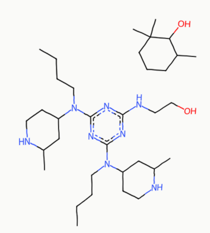 CC1CCCC(C)(C)C1O.CCCCN(c1nc(NCCO)nc(N(CCCC)C2CCNC(C)C2)n1)C1CCNC(C)C1